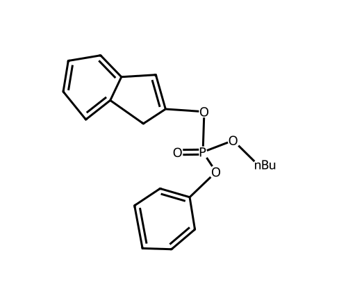 CCCCOP(=O)(OC1=Cc2ccccc2C1)Oc1ccccc1